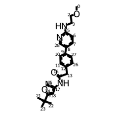 COCCNc1ccc(-c2ccc(CC(=O)Nc3cc(C(C)(C)C)on3)cc2)cn1